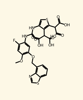 COc1cc(F)c(NC(=O)Nc2csc(C(C(=O)O)C(=O)O)c2C(C(=O)O)C(=O)O)cc1OCc1cccc2scnc12